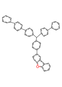 c1ccc(-c2ccc(-c3ccc(C(c4ccc(-c5ccccc5)cc4)c4ccc(-c5ccc6oc7ccccc7c6c5)cc4)cc3)cc2)cc1